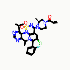 C=CC(=O)N1CCN(C2=NS(=O)(=O)N(c3c(C(C)C)ncnc3C(C)C)c3nc(-c4ccccc4F)c(Cl)cc32)[C@@H](C)C1